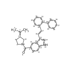 CN(C)[C@@H]1CCN(C(=O)c2ccc3[nH]nc(/C=C/c4ccccc4-c4ccccc4)c3c2)C1